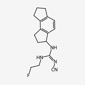 N#C/N=C(\NCCF)NC1CCc2c1ccc1c2CCC1